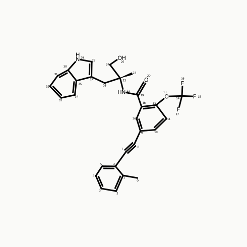 Cc1ccccc1C#Cc1ccc(OC(F)(F)F)c(C(=O)N[C@@](C)(CO)Cc2c[nH]c3ccccc23)c1